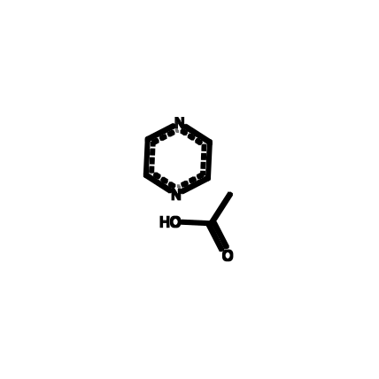 CC(=O)O.c1cnccn1